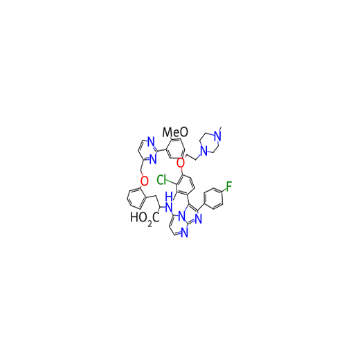 COc1ccccc1-c1nccc(COc2ccccc2CC(Nc2ccnc3nc(-c4ccc(F)cc4)c(-c4ccc(OCCN5CCN(C)CC5)c(Cl)c4C)n23)C(=O)O)n1